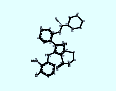 COc1c(Cl)cccc1Nc1c(-c2ccncc2O[C@H](C)[C@H]2COCCO2)[nH]c2c1C(=O)NCC2